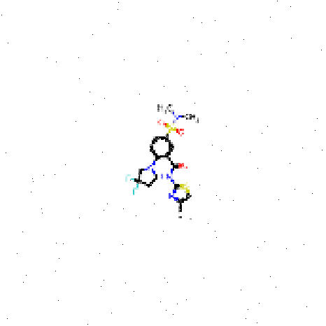 Cc1csc(NC(=O)c2cc(S(=O)(=O)N(C)C)ccc2N2CCC(F)(F)C2)n1